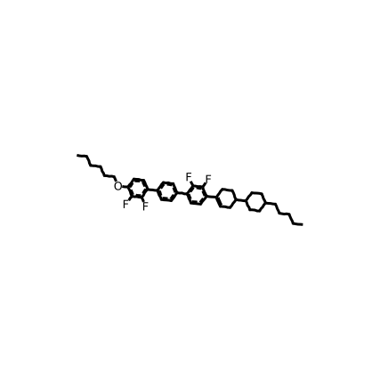 CCCCCCOc1ccc(-c2ccc(-c3ccc(C4=CCC(C5CCC(CCCCC)CC5)CC4)c(F)c3F)cc2)c(F)c1F